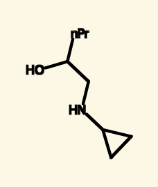 CCCC(O)CNC1CC1